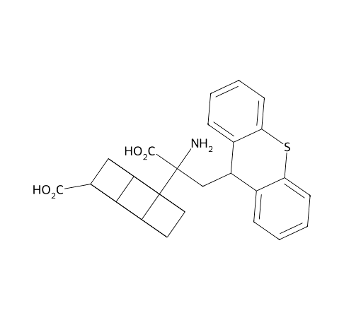 NC(CC1c2ccccc2Sc2ccccc21)(C(=O)O)C12C3C4C1C1C2C3C41C(=O)O